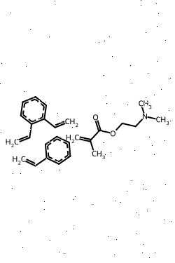 C=C(C)C(=O)OCCN(C)C.C=Cc1ccccc1.C=Cc1ccccc1C=C